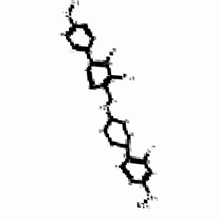 CCOc1ccc(-c2ccc(COC3CCC(c4ccc(OCC)cc4F)CC3)c(F)c2F)cc1